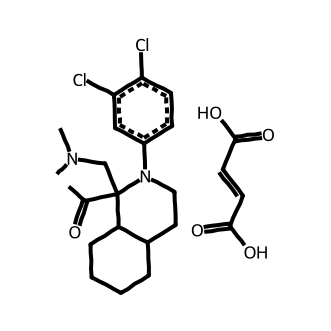 CC(=O)C1(CN(C)C)C2CCCCC2CCN1c1ccc(Cl)c(Cl)c1.O=C(O)C=CC(=O)O